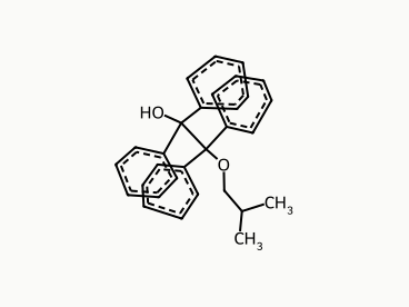 CC(C)COC(c1ccccc1)(c1ccccc1)C(O)(c1ccccc1)c1ccccc1